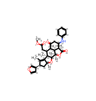 COC(=O)CC1[C@@]2(C)C(=O)CC(Nc3ccccc3)[C@@]3(C)C(=O)O[C@H](C23)[C@H]2O[C@H]3C[C@@H](c4ccoc4)C(C)=C3[C@@]12C